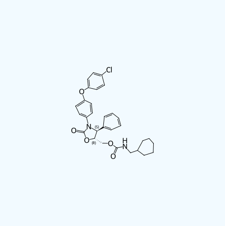 O=C(NCC1CCCCC1)OC[C@@H]1OC(=O)N(c2ccc(Oc3ccc(Cl)cc3)cc2)[C@H]1c1ccccc1